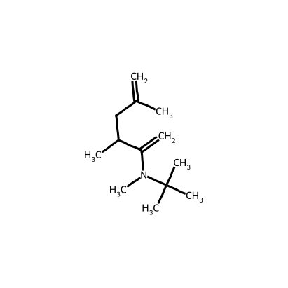 C=C(C)CC(C)C(=C)N(C)C(C)(C)C